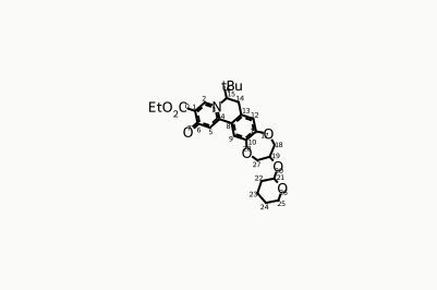 CCOC(=O)c1cn2c(cc1=O)-c1cc3c(cc1CC2C(C)(C)C)OCC(OC1CCCCO1)CO3